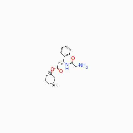 C[C@@H]1CCC[C@@H](OC(=O)C[C@@H](NC(=O)CN)c2ccccc2)C1